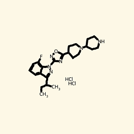 CCC(C)c1nn(-c2noc(C3CCN(C4CCNCC4)CC3)n2)c2c(F)cccc12.Cl.Cl